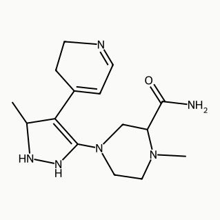 CC1NNC(N2CCN(C)C(C(N)=O)C2)=C1C1=CC=NCC1